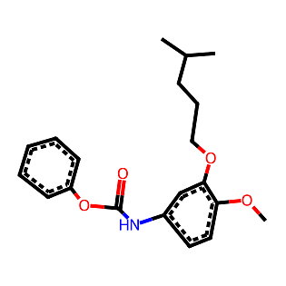 COc1ccc(NC(=O)Oc2ccccc2)cc1OCCCC(C)C